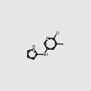 Cc1cc(Nc2ccc[nH]2)cnc1Cl